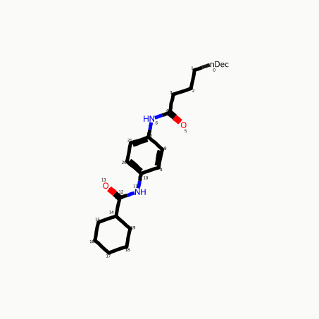 CCCCCCCCCCCCCC(=O)Nc1ccc(NC(=O)C2CCCCC2)cc1